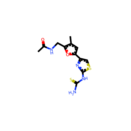 CC(=O)NCc1oc(-c2csc(NC(N)=S)n2)cc1C